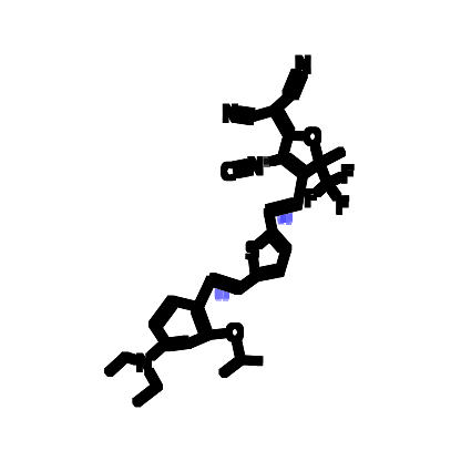 [C-]#[N+]C1=C(/C=C/c2ccc(/C=C/c3ccc(N(CC)CC)cc3OC(C)C)s2)C(C)(C(F)(F)F)OC1=C(C#N)C#N